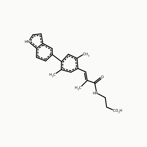 C/C(=C\c1cc(C)c(-c2ccc3[nH]ccc3c2)cc1C)C(=O)NCCC(=O)O